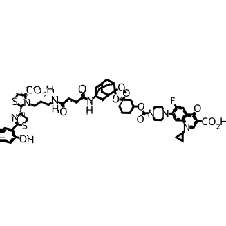 O=C(CCC(=O)NC12CC3CC(C1)C1(OO[C@@]4(CCCC(OC(=O)N5CCN(c6cc7c(cc6F)c(=O)c(C(=O)O)cn7C6CC6)CC5)C4)O1)C(C3)C2)NCCCN1C([C@H]2CSC(c3ccccc3O)=N2)SC[C@H]1C(=O)O